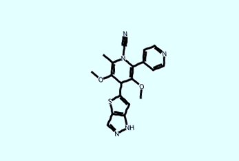 COC1=C(C)N(C#N)C(c2ccncc2)=C(OC)C1c1cc2[nH]ncc2s1